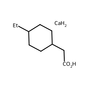 CCC1CCC(CC(=O)O)CC1.[CaH2]